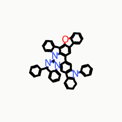 C1=Cc2c(n(-c3ccccc3)c3cc(-c4cc5c6ccccc6oc5c5c6ccccc6n(-c6nc(-c7ccccc7)c7ccccc7n6)c45)ccc23)CC1